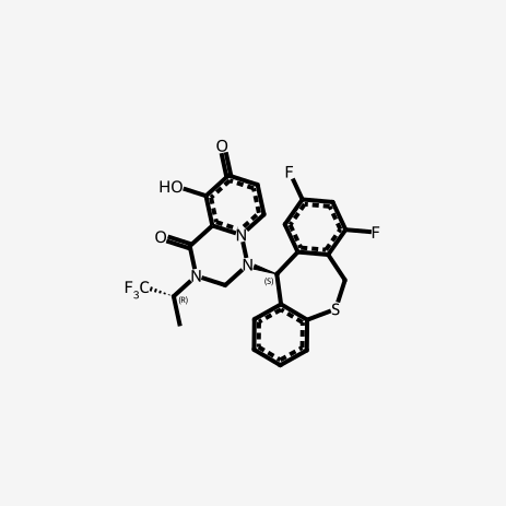 C[C@@H](N1CN([C@@H]2c3ccccc3SCc3c(F)cc(F)cc32)n2ccc(=O)c(O)c2C1=O)C(F)(F)F